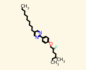 CCCCCCCCCCc1cnc(-c2ccc(OC[C@@H](F)CC[C@@H](C)CC)cc2)nc1